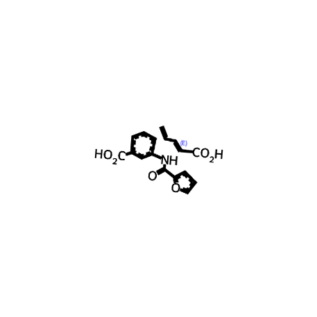 C=C/C=C/C(=O)O.O=C(O)c1cccc(NC(=O)c2ccco2)c1